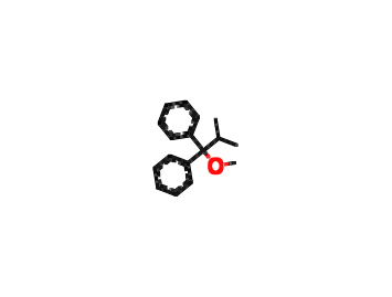 COC(c1ccccc1)(c1ccccc1)C(C)C